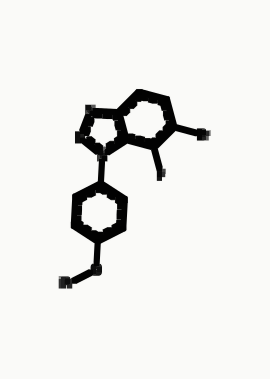 CC(C)Oc1ccc(-n2nnc3ccc(Br)c(F)c32)cc1